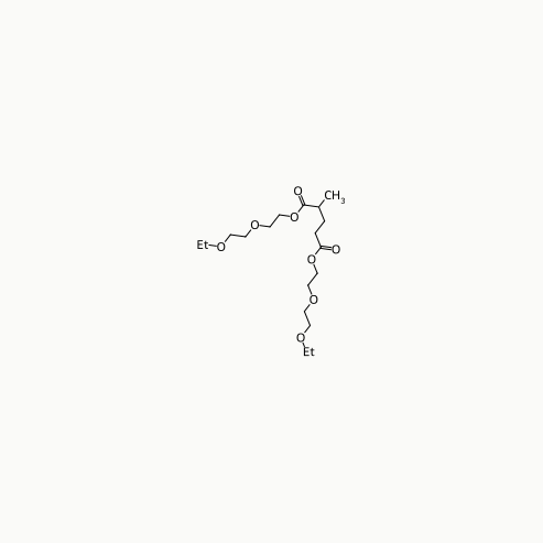 CCOCCOCCOC(=O)CCC(C)C(=O)OCCOCCOCC